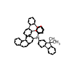 CC1(C)c2ccccc2-c2ccc(N(c3ccc4c(ccc5ccccc54)c3)c3ccccc3-c3ccccc3-c3ccccc3-c3ccccc3)cc21